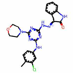 Cc1ccc(Nc2nc(N/N=C3/C(=O)Nc4ccccc43)nc(N3CCOCC3)n2)cc1Cl